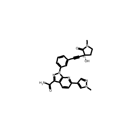 CN1CC[C@@](O)(C#Cc2cccc(-n3nc(C(N)=O)c4ccc(-c5cnn(C)c5)nc43)c2)C1=O